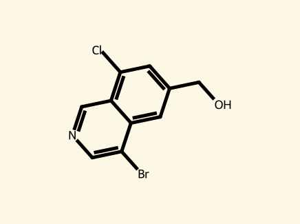 OCc1cc(Cl)c2cncc(Br)c2c1